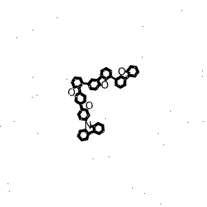 c1ccc2c(c1)oc1c(-c3cccc4c3oc3ccc(-c5cccc6oc7cc8c(cc7c56)oc5cc(-n6c7ccccc7c7ccccc76)ccc58)cc34)cccc12